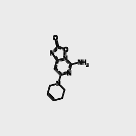 Nc1nc(N2CC=CCC2)cc2nc(=O)on12